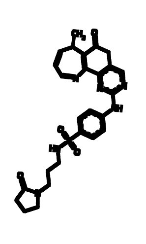 CC1C=CC=NC2=C1C(=O)Cc1cnc(Nc3ccc(S(=O)(=O)NCCCN4CCCC4=O)cc3)nc12